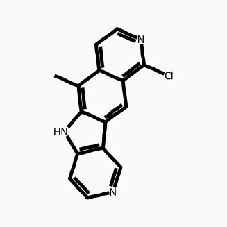 Cc1c2ccnc(Cl)c2cc2c1[nH]c1ccncc12